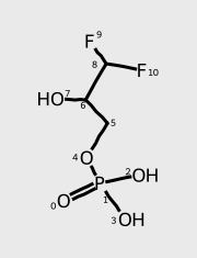 O=P(O)(O)OCC(O)C(F)F